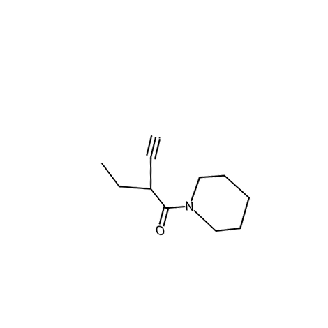 [C]#CC(CC)C(=O)N1CCCCC1